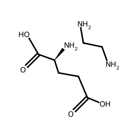 NCCN.N[C@@H](CCC(=O)O)C(=O)O